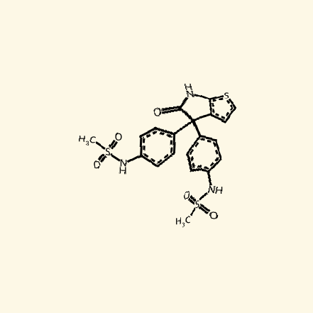 CS(=O)(=O)Nc1ccc(C2(c3ccc(NS(C)(=O)=O)cc3)C(=O)Nc3sccc32)cc1